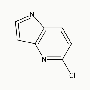 Clc1ccc2c(n1)C=C=N2